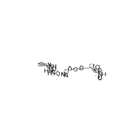 CC(C)(C)c1cc(NC(=O)Nc2ccc(-n3cnc4cc(OCCOCCOCCCc5cccc6c5CN(C5CCC(=O)NC5=O)C6=O)ccc43)cc2)[nH]n1